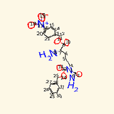 NC(=O)N(CCC[C@H](N)C(=O)OCc1ccc([N+](=O)[O-])cc1)C(=O)OCc1ccccc1